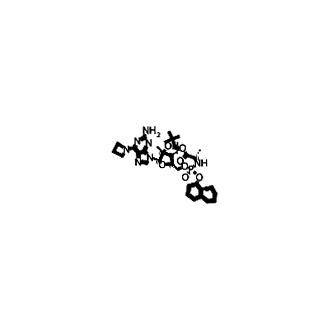 C[C@H](NP(=O)(OC[C@H]1O[C@@H](n2cnc3c(N4CCC4)nc(N)nc32)[C@](C)(O)[C@@H]1F)Oc1cccc2ccccc12)C(=O)OCC(C)(C)C